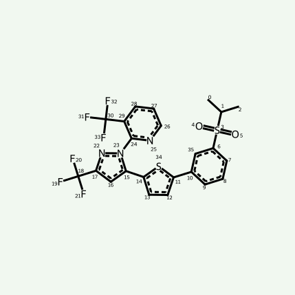 CC(C)S(=O)(=O)c1cccc(-c2ccc(-c3cc(C(F)(F)F)nn3-c3ncccc3C(F)(F)F)s2)c1